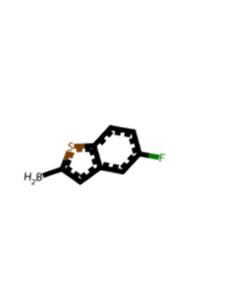 Bc1cc2cc(F)ccc2s1